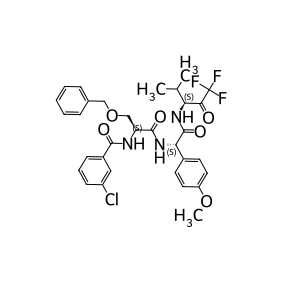 COc1ccc([C@H](NC(=O)[C@H](COCc2ccccc2)NC(=O)c2cccc(Cl)c2)C(=O)N[C@H](C(=O)C(F)(F)F)C(C)C)cc1